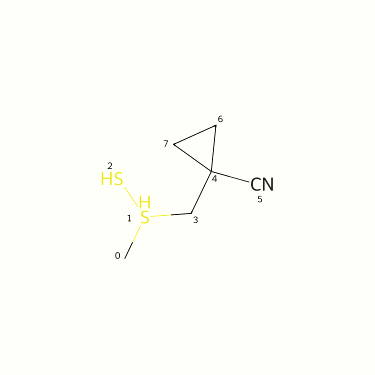 C[SH](S)CC1(C#N)CC1